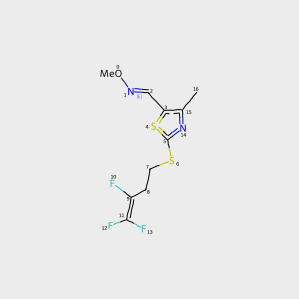 CO/N=C/c1sc(SCCC(F)=C(F)F)nc1C